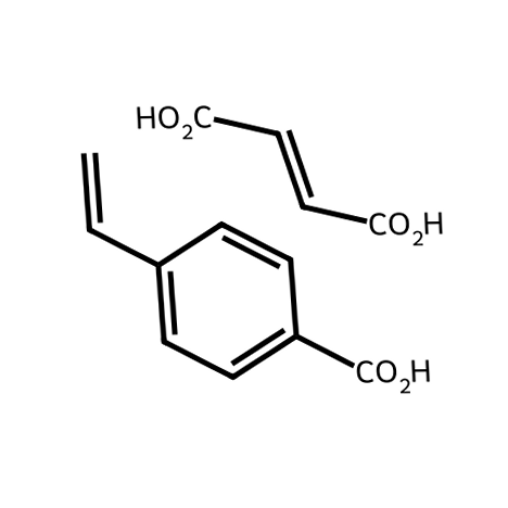 C=Cc1ccc(C(=O)O)cc1.O=C(O)C=CC(=O)O